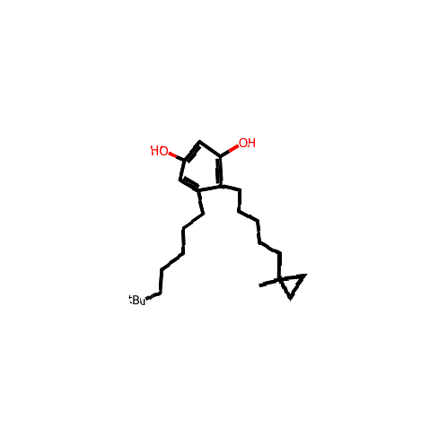 CC(C)(C)CCCCCc1cc(O)cc(O)c1CCCCCC1(C)CC1